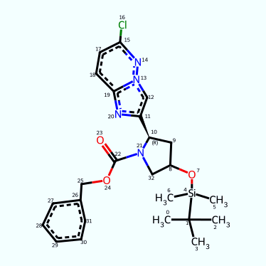 CC(C)(C)[Si](C)(C)OC1C[C@H](c2cn3nc(Cl)ccc3n2)N(C(=O)OCc2ccccc2)C1